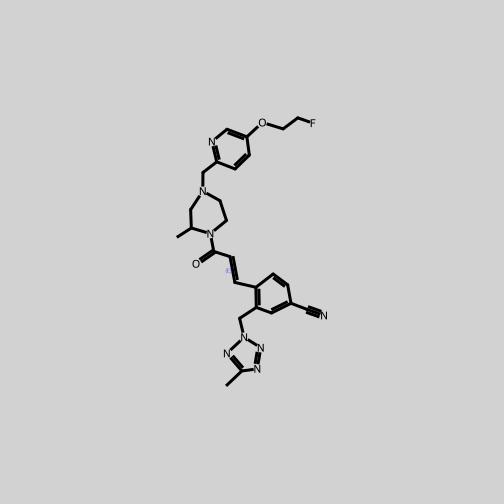 Cc1nnn(Cc2cc(C#N)ccc2/C=C/C(=O)N2CCN(Cc3ccc(OCCF)cn3)CC2C)n1